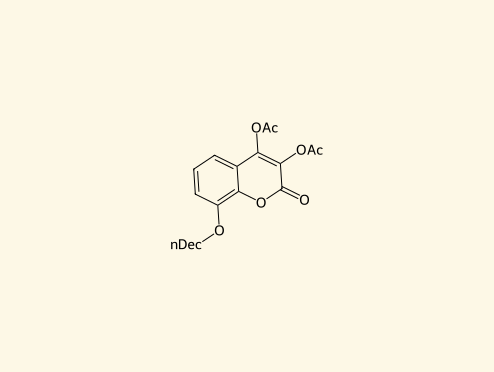 CCCCCCCCCCOc1cccc2c(OC(C)=O)c(OC(C)=O)c(=O)oc12